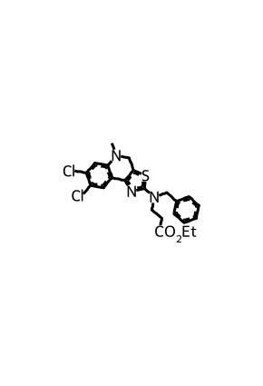 CCOC(=O)CCN(Cc1ccccc1)c1nc2c(s1)CN(C)c1cc(Cl)c(Cl)cc1-2